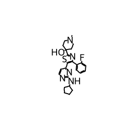 CN1CCC(O)(c2nc(-c3ccccc3F)c(-c3ccnc(NC4CCCC4)n3)s2)CC1